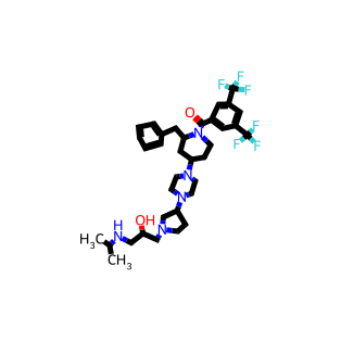 CC(C)NCC(O)CN1CCC(N2CCN(C3CCN(C(=O)c4cc(C(F)(F)F)cc(C(F)(F)F)c4)C(Cc4ccccc4)C3)CC2)C1